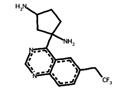 NC1CCC(N)(c2ncnc3ccc(CC(F)(F)F)cc23)C1